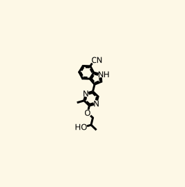 Cc1nc(-c2c[nH]c3c(C#N)cccc23)cnc1OCC(C)O